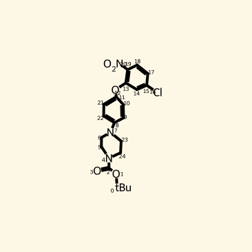 CC(C)(C)OC(=O)N1CCN(c2ccc(Oc3cc(Cl)ccc3[N+](=O)[O-])cc2)CC1